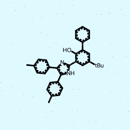 Cc1ccc(-c2nc(-c3cc(C(C)(C)C)cc(-c4ccccc4)c3O)[nH]c2-c2ccc(C)cc2)cc1